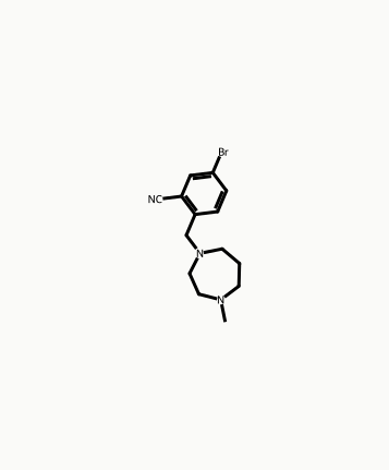 CN1CCCN(Cc2ccc(Br)cc2C#N)CC1